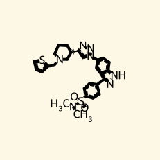 CN(C)S(=O)(=O)c1ccc(-c2n[nH]c3ccc(-n4cc([C@@H]5CCCN(Cc6cccs6)C5)nn4)cc23)cc1